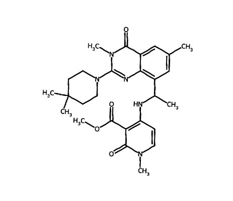 COC(=O)c1c(NC(C)c2cc(C)cc3c(=O)n(C)c(N4CCC(C)(C)CC4)nc23)ccn(C)c1=O